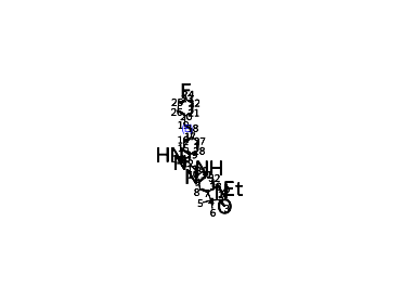 CCN1C(=O)C(C)(C)c2cc3nc(-c4n[nH]c5cc(/C=C/c6ccc(F)cc6)ccc45)[nH]c3cc21